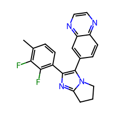 Cc1ccc(-c2nc3n(c2-c2ccc4nccnc4c2)CCC3)c(F)c1F